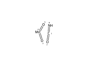 N=C=O.[O]=[Mn]=[O]